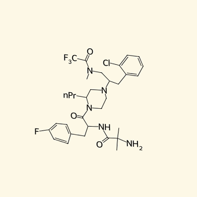 CCCC1CN(C(Cc2ccccc2Cl)CN(C)C(=O)C(F)(F)F)CCN1C(=O)C(Cc1ccc(F)cc1)NC(=O)C(C)(C)N